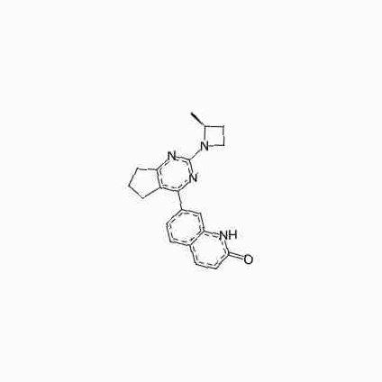 C[C@H]1CCN1c1nc2c(c(-c3ccc4ccc(=O)[nH]c4c3)n1)CCC2